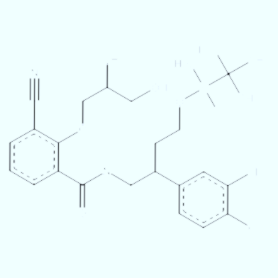 CC(CO)COc1c(C#N)cccc1C(=O)NCC(CCO[Si](C)(C)C(C)(C)C)c1ccc(Cl)c(Cl)c1